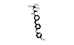 Cc1ccc(Oc2cccc(/C=C3\CCCC(NC(=O)OC(C)(C)C)C3)c2)nc1